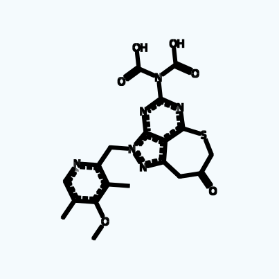 COc1c(C)cnc(Cn2nc3c4c(nc(N(C(=O)O)C(=O)O)nc42)SCC(=O)C3)c1C